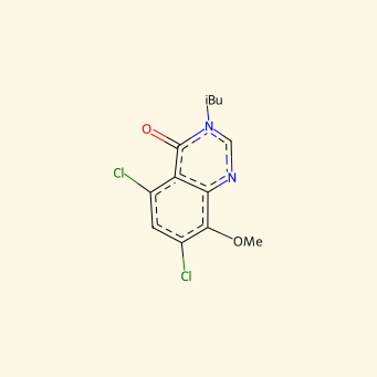 CCC(C)n1cnc2c(OC)c(Cl)cc(Cl)c2c1=O